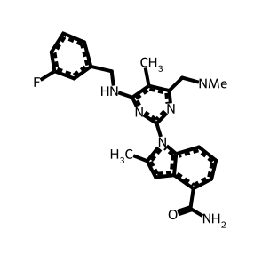 CNCc1nc(-n2c(C)cc3c(C(N)=O)cccc32)nc(NCc2cccc(F)c2)c1C